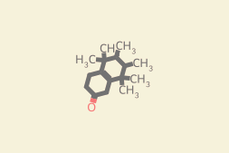 CC1C(C)C(C)(C)C2=C(CCC(=O)C2)C1(C)C